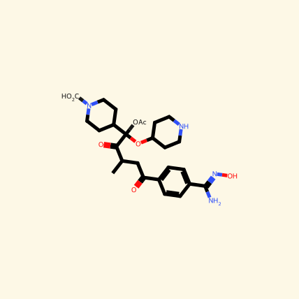 CC(=O)OC(OC1CCNCC1)(C(=O)C(C)CC(=O)c1ccc(C(N)=NO)cc1)C1CCN(C(=O)O)CC1